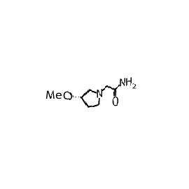 CO[C@H]1CCN(CC(N)=O)C1